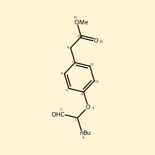 CCCCC(C=O)Oc1ccc(CC(=O)OC)cc1